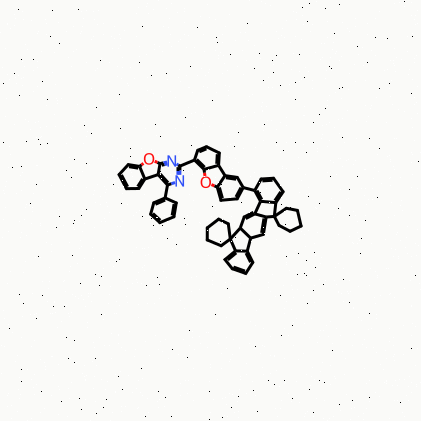 C1=C2C(=CC3c4ccccc4C4(CCCCC4)C13)C1(CCCCC1)c1cccc(-c3ccc4oc5c(-c6nc(-c7ccccc7)c7c(n6)oc6ccccc67)cccc5c4c3)c12